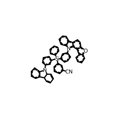 N#Cc1cccc([Si](c2ccccc2)(c2cccc(N3c4ccccc4C4C=CC=CC43)c2)c2cccc(-n3c4ccccc4c4ccc5oc6ccccc6c5c43)c2)c1